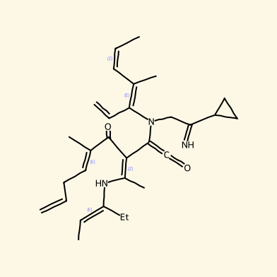 C=CC/C=C(\C)C(=O)/C(C(=C=O)N(CC(=N)C1CC1)/C(C=C)=C(C)/C=C\C)=C(/C)N/C(=C/C)CC